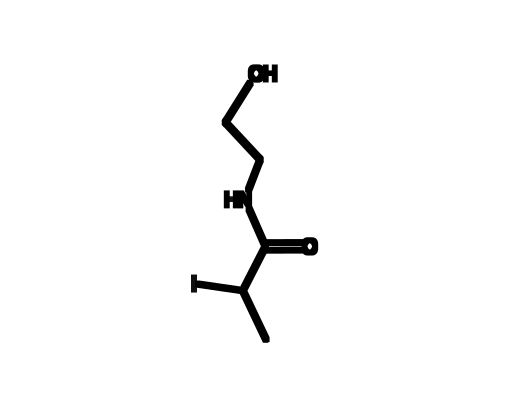 CC(I)C(=O)NCCO